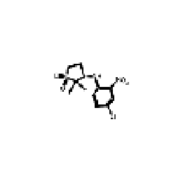 CC1(C)[C@H](Nc2ccc(Cl)cc2[N+](=O)[O-])CCS1(=O)=O